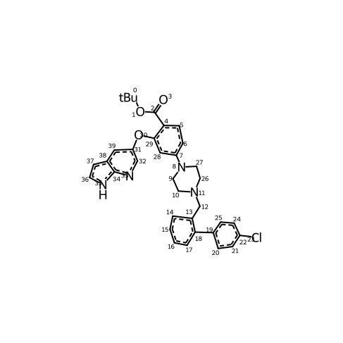 CC(C)(C)OC(=O)c1ccc(N2CCN(Cc3ccccc3-c3ccc(Cl)cc3)CC2)cc1Oc1cnc2[nH]ccc2c1